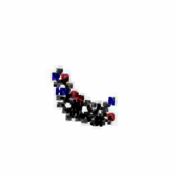 CC1(C)C(=O)C(C#N)=C[C@]2(C)C3=CC(=O)[C@@H]4[C@@H]5C[C@@](C)(C(=O)NCc6cnco6)CC[C@]5(C)CC[C@@]4(C)[C@]3(C)CC[C@@H]12